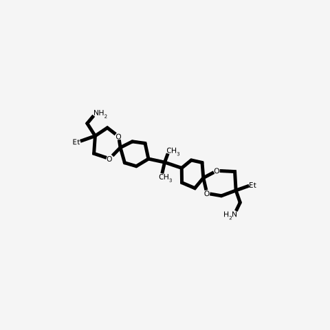 CCC1(CN)COC2(CCC(C(C)(C)C3CCC4(CC3)OCC(CC)(CN)CO4)CC2)OC1